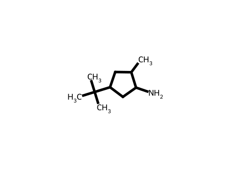 CC1CC(C(C)(C)C)CC1N